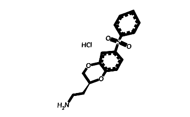 Cl.NCC[C@H]1COc2cc(S(=O)(=O)c3ccccc3)ccc2O1